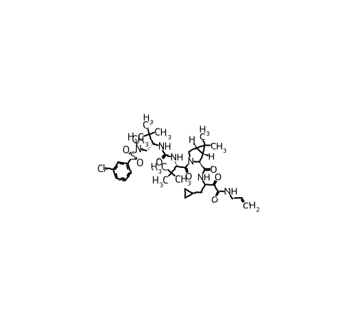 C=CCNC(=O)C(=O)C(CC1CC1)NC(=O)[C@@H]1[C@@H]2[C@H](CN1C(=O)[C@@H](NC(=O)N[C@H](CN(C)S(=O)(=O)c1cccc(Cl)c1)C(C)(C)C)C(C)(C)C)C2(C)C